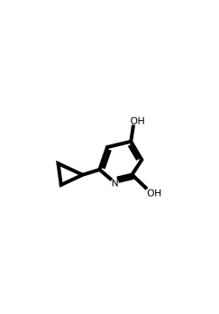 Oc1cc(O)nc(C2CC2)c1